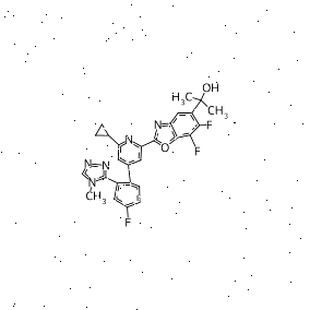 Cn1cnnc1-c1cc(F)ccc1-c1cc(-c2nc3cc(C(C)(C)O)c(F)c(F)c3o2)nc(C2CC2)c1